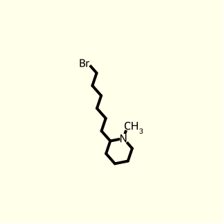 CN1CCCCC1CCCCCCBr